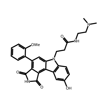 COc1ccccc1-c1cc2c(c3c1C(=O)NC3=O)c1cc(O)ccc1n2CCC(=O)NCCN(C)C